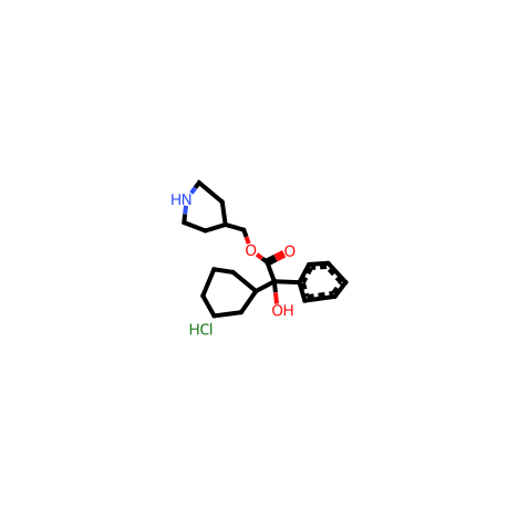 Cl.O=C(OCC1CCNCC1)C(O)(c1ccccc1)C1CCCCC1